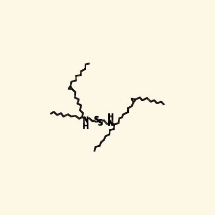 CCCCCCCCCC(CCCCCCCC1CC1CCCCCCCC)NCCSSCCNC(CCCCCCCCC)CCCCCCCC1CC1CCCCCCCC